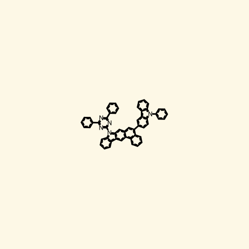 c1ccc(-c2nc(-c3ccccc3)nc(-n3c4ccccc4c4cc5c(cc(-c6ccc7c(c6)c6ccccc6n7-c6ccccc6)c6ccccc65)cc43)n2)cc1